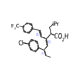 C\C=C(/C=C(\C=C\c1ccc(C(F)(F)F)cc1)C(CC(C)C)C(=O)O)c1ccc(Cl)cc1